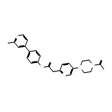 CC(=O)N1[C@H](C)CN(c2ccc(CC(=O)Nc3ccc(-c4ccnc(C)c4)cc3)nc2)C[C@@H]1C